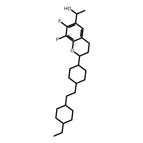 CCC1CCC(CCC2CCC(C3CCc4cc(C(C)O)c(F)c(F)c4O3)CC2)CC1